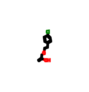 C=C(O)COCCc1ccc(Cl)cc1